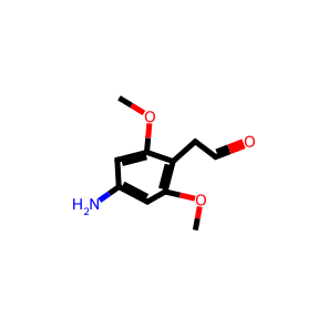 COc1cc(N)cc(OC)c1CC=O